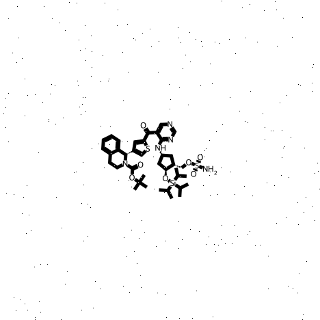 CC(C)[Si](O[C@H]1C[C@H](Nc2ncncc2C(=O)c2cc([C@H]3c4ccccc4CCN3C(=O)OC(C)(C)C)cs2)C[C@@H]1COS(N)(=O)=O)(C(C)C)C(C)C